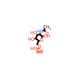 CC(=O)NC1C(O)OC(COP(=O)(O)O)C(O)C1O